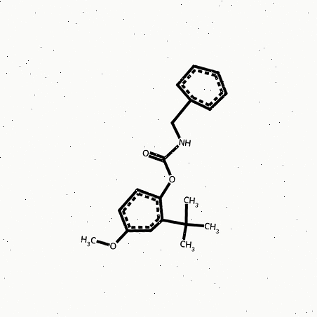 COc1ccc(OC(=O)NCc2ccccc2)c(C(C)(C)C)c1